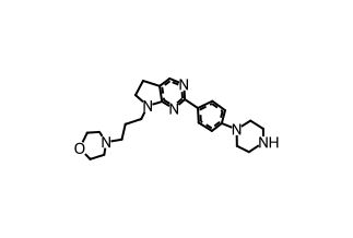 c1cc(N2CCNCC2)ccc1-c1ncc2c(n1)N(CCCN1CCOCC1)CC2